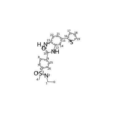 CCN=S(C)(=O)c1ccc(C(=O)Nc2cc(-c3cccs3)ccc2N)cc1